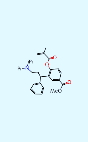 C=C(C)C(=O)Oc1ccc(C(=O)OC)cc1[C@H](CCN(C(C)C)C(C)C)c1ccccc1